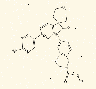 CC(C)(C)OC(=O)N1CCc2cc(NC(=O)C3(c4ccc(-c5cnc(N)nc5)cc4)CCOCC3)ccc2C1